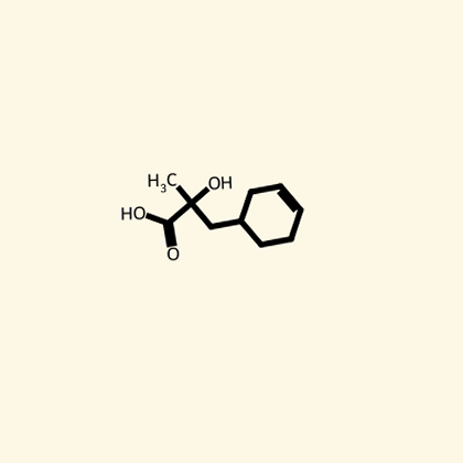 CC(O)(CC1CC=CCC1)C(=O)O